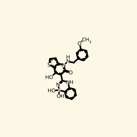 COc1cccc(CNn2c(=O)c(C3=NS(O)(O)c4ccccc4N3)c(O)c3sccc32)c1